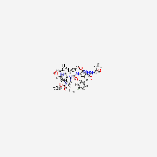 C[C@@H]1CN(CC(=O)N2c3cc(Cc4ccc(F)cc4)c(C(=O)NC[C@@H]4CCCO4)nc3OC[C@@H]2C)[C@@H](CN2[C@H](C)COC[C@H]2C)CN1C(=O)OC(C)(C)C